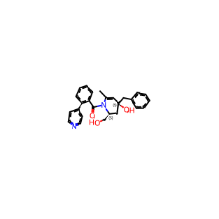 CC1=C[C@](O)(Cc2ccccc2)C[C@@H](CO)N1C(=O)c1ccccc1-c1ccncc1